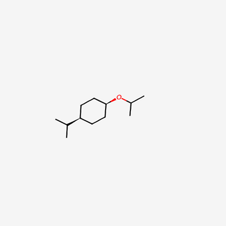 CC(C)O[C@H]1CC[C@@H](C(C)C)CC1